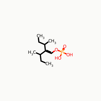 CCC(C)C(=COP(=O)(O)O)C(C)CC